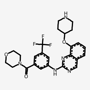 O=C(c1cc(Nc2ncc3cccc(OC4CCNCC4)c3n2)cc(C(F)(F)F)c1)N1CCOCC1